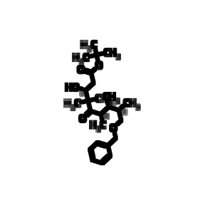 C[C@@H]([C@@H](C)COCc1ccccc1)[C@@H](C)C(=O)C(C)(C)[C@@H](O)CC(=O)OC(C)(C)C